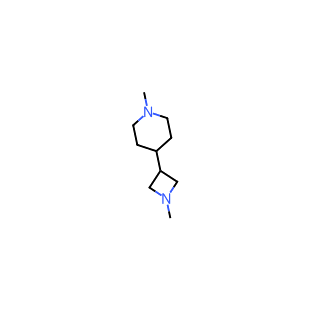 CN1CCC(C2CN(C)C2)CC1